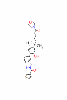 CC(C)(CCCCC(=O)N1CCOCC1)c1ccc(-c2cccc(CNC(=O)c3ccsc3)c2)c(O)c1